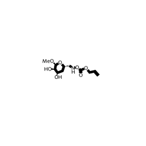 C=CCOC(=O)ONC[C@@H]1C[C@H](O)[C@@H](O)[C@@H](OC)O1